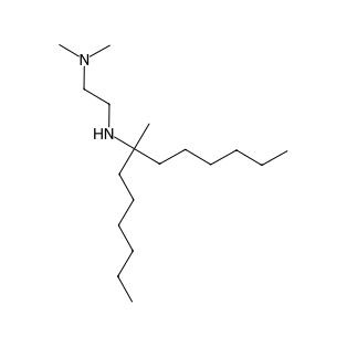 CCCCCCC(C)(CCCCCC)NCCN(C)C